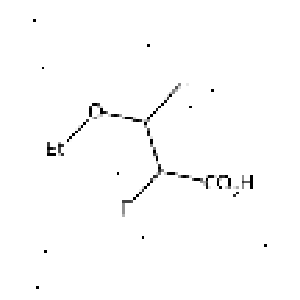 [CH2]C(OCC)C(F)C(=O)O